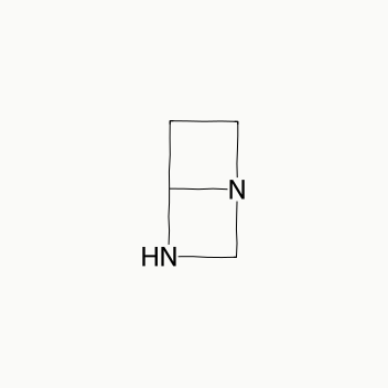 C1CN2CNC12